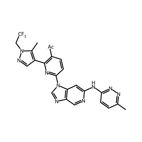 CC(=O)c1ccc(-n2cnc3cnc(Nc4ccc(C)nn4)cc32)nc1-c1cnn(CC(F)(F)F)c1C